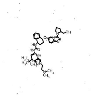 CN(C)CCn1cc(N/C(=C\C(=N)C(C)(C)C)NC(=O)NC2CC[C@@H](Oc3ccc4nnc(N5CCCC5CO)n4c3)c3ccccc32)cn1